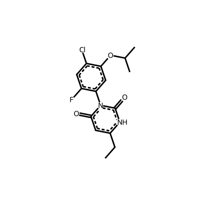 CCc1cc(=O)n(-c2cc(OC(C)C)c(Cl)cc2F)c(=O)[nH]1